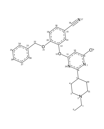 CCN1CCC(c2nc(Cl)cc(Oc3cc(C#N)ccc3OCc3ccccc3)n2)CC1